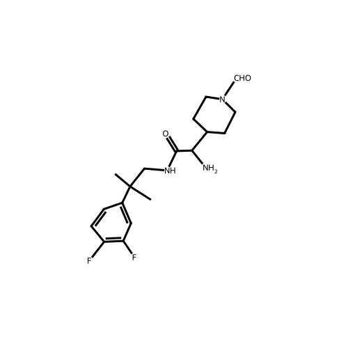 CC(C)(CNC(=O)C(N)C1CCN(C=O)CC1)c1ccc(F)c(F)c1